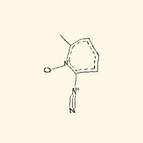 Cc1cccc([N+]#N)[n+]1[O-]